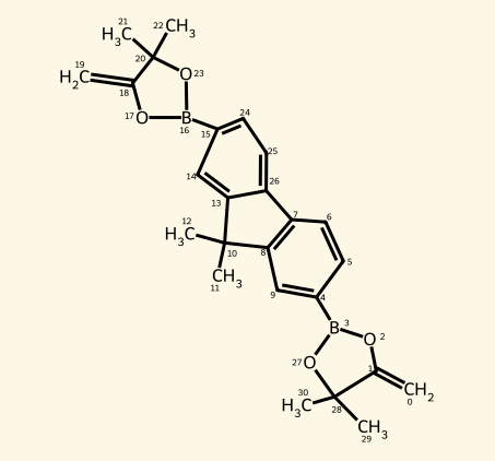 C=C1OB(c2ccc3c(c2)C(C)(C)c2cc(B4OC(=C)C(C)(C)O4)ccc2-3)OC1(C)C